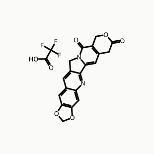 O=C(O)C(F)(F)F.O=C1Cc2cc3n(c(=O)c2CO1)Cc1cc2cc4c(cc2nc1-3)OCO4